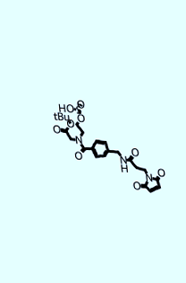 CC(C)(C)OC(=O)CN(CCOS(=O)O)C(=O)c1ccc(CNC(=O)CCN2C(=O)C=CC2=O)cc1